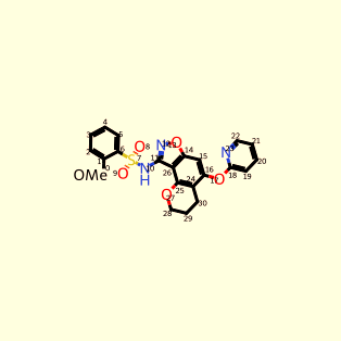 COc1ccccc1S(=O)(=O)Nc1noc2cc(Oc3ccccn3)c3c(c12)OCCC3